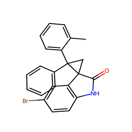 Cc1ccccc1C1(c2ccccc2)CC12C(=O)Nc1ccc(Br)cc12